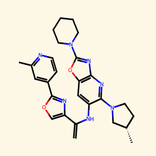 C=C(Nc1cc2oc(N3CCCCC3)nc2nc1N1CC[C@H](C)C1)c1coc(-c2ccnc(C)c2)n1